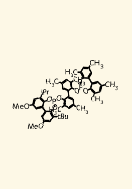 COc1cc(C(C)C)c2op(Oc3c(C)cc(C)cc3-c3cc(C)cc(C)c3Op3oc4c(C)cc(C)cc4c4cc(C)cc(C)c4o3)oc3c(C(C)(C)C)cc(OC)cc3c2c1